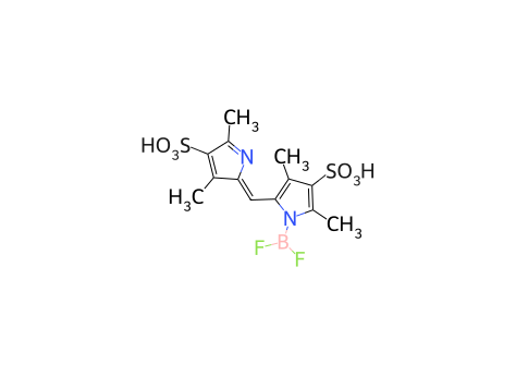 CC1=N/C(=C\c2c(C)c(S(=O)(=O)O)c(C)n2B(F)F)C(C)=C1S(=O)(=O)O